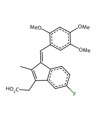 COc1cc(OC)c(OC)cc1C=C1C(C)=C(CC(=O)O)c2cc(F)ccc21